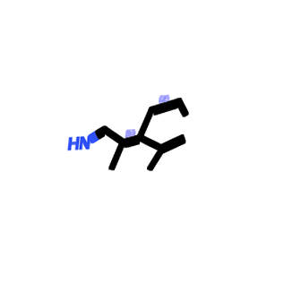 C=C(C)C(/C=C\C)=C(\C)C=N